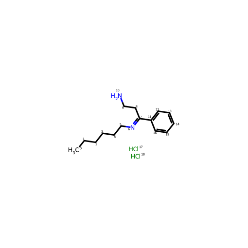 CCCCCCN=C(CCN)c1ccccc1.Cl.Cl